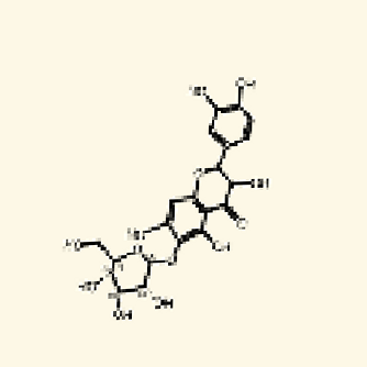 O=C1c2c(cc(O)c(O[C@@H]3O[C@H](CO)[C@@H](O)[C@H](O)[C@H]3O)c2O)OC(c2ccc(O)c(O)c2)C1O